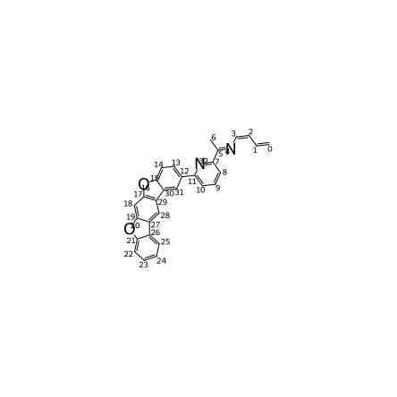 C=C/C=C\N=C(/C)c1cccc(-c2ccc3oc4cc5oc6ccccc6c5cc4c3c2)n1